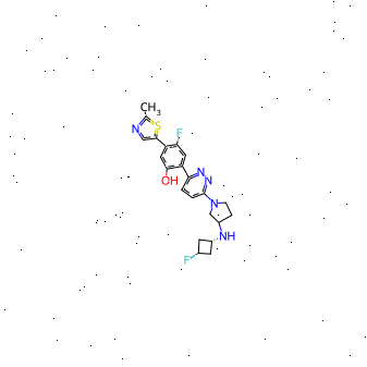 Cc1ncc(-c2cc(O)c(-c3ccc(N4CCC(N[C@H]5C[C@H](F)C5)C4)nn3)cc2F)s1